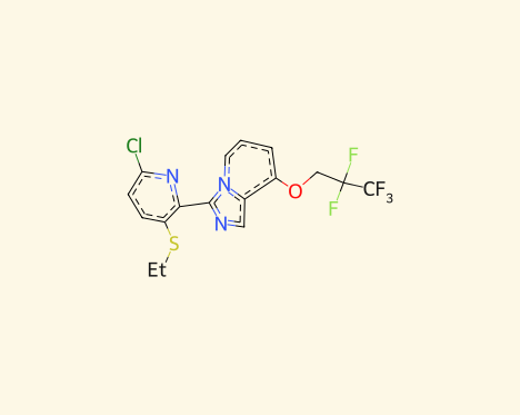 CCSc1ccc(Cl)nc1-c1ncc2c(OCC(F)(F)C(F)(F)F)cccn12